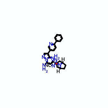 N#C/N=C(\N)N1[C@@H]2CC[C@H]1C[C@H](c1cc(N)n3ncc(-c4ccc(-c5ccccc5)nc4)c3n1)C2